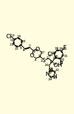 C[C@@H](SC1COC(/C=C/c2ccc(Cl)cc2)OC1)[C@](O)(Cn1cncn1)c1ccc(F)cc1F